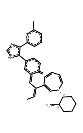 C=c1ccc(-c2[nH]cnc2-c2cccc(C)n2)c/c1=C/C(=C\C)C1=CN([C@@H]2CCCC[C@H]2N)C=CC=C1